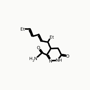 CC/C=C/C=CC(CC)C1CC(=O)NN=C1C(N)=O